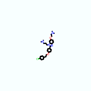 CN(C)CCCn1c(-c2ccc(OCCc3ccc(Cl)cc3)cc2)nc2ccc(OCCN(C)C)cc21